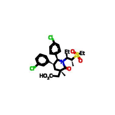 CC[C@@H]([C@@H](C)S(=O)(=O)CC)N1C(=O)[C@@](C)(CC(=O)O)C[C@H](c2cccc(Cl)c2)[C@H]1c1ccc(Cl)cc1